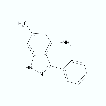 Cc1cc(N)c2c(-c3ccccc3)n[nH]c2c1